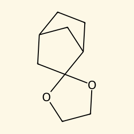 C1COC2(CC3CCC2C3)O1